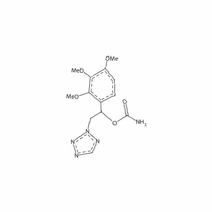 COc1ccc(C(Cn2ncnn2)OC(N)=O)c(OC)c1OC